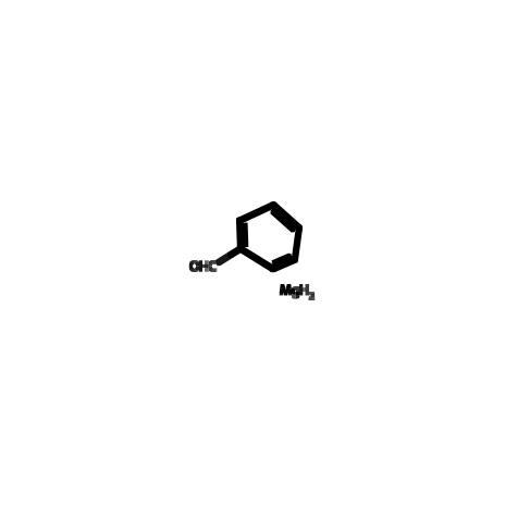 O=Cc1ccccc1.[MgH2]